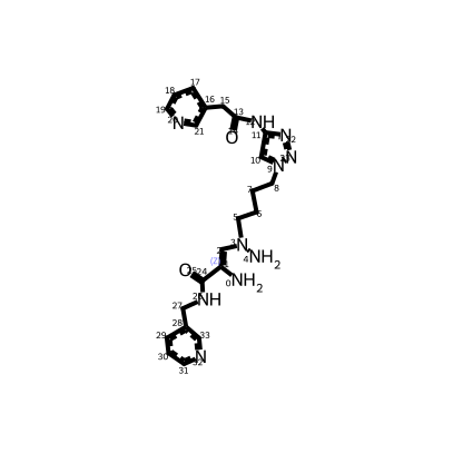 N/C(=C\N(N)CCCCn1cc(NC(=O)Cc2cccnc2)nn1)C(=O)NCc1cccnc1